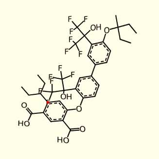 CCC(CC)c1cc(Oc2ccc(-c3ccc(OC(C)(CC)CC)c(C(O)(C(F)(F)F)C(F)(F)F)c3)cc2C(O)(C(F)(F)F)C(F)(F)F)c(C(=O)O)cc1C(=O)O